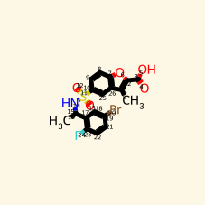 Cc1c(C(=O)O)oc2ccc(S(=O)(=O)NC(C)c3cc(Br)ccc3F)cc12